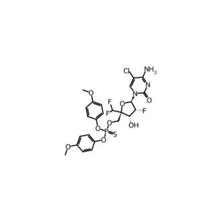 COc1ccc(OP(=S)(OC[C@@]2(C(F)F)O[C@@H](n3cc(Cl)c(N)nc3=O)[C@H](F)[C@@H]2O)Oc2ccc(OC)cc2)cc1